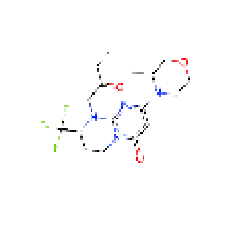 CCC(=O)CN1c2nc(N3CCOC[C@H]3C)cc(=O)n2CC[C@H]1C(F)(F)F